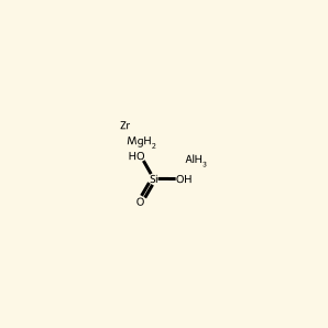 O=[Si](O)O.[AlH3].[MgH2].[Zr]